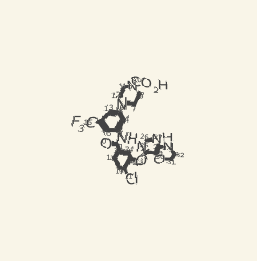 O=C(Nc1cc(N2CCN(C(=O)O)CC2)cc(C(F)(F)F)c1)c1ccc(Cl)c(Oc2ncnc3c2OCCN3)c1